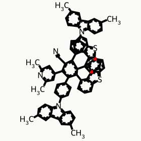 Cc1ccc2c(c1)c1cc(C)ccc1n2-c1ccc(-c2c(C#N)c(-c3cc(C)nc(C)c3)c(-c3ccc(-n4c5ccc(C)cc5c5cc(C)ccc54)cc3)c(-c3cccc4sc5ccccc5c34)c2-c2cccc3sc4ccccc4c23)cc1